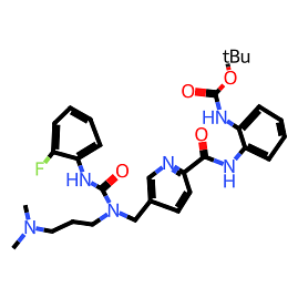 CN(C)CCCN(Cc1ccc(C(=O)Nc2ccccc2NC(=O)OC(C)(C)C)nc1)C(=O)Nc1ccccc1F